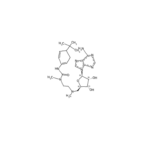 CN(CCN(C)C(=O)NC1=CCC(C(C)(C)C)C=C1)C[C@H]1O[C@@H](n2cnc3c(N)ncnc32)[C@H](O)[C@@H]1O